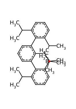 CC(C)c1cccc(C(C)C)c1-c1cccc(-c2c(C(C)C)cccc2C(C)C)c1[S][Bi]([CH3])[CH3]